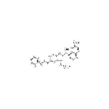 COc1ccc2nccc([C@@H](O)CCC3CCN(CCSc4ccccn4)CC3CCC(=O)O)c2c1